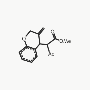 C=C1COc2ccccc2C1C(C(C)=O)C(=O)OC